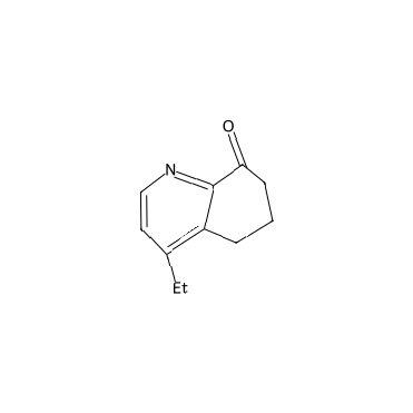 CCc1ccnc2c1CCCC2=O